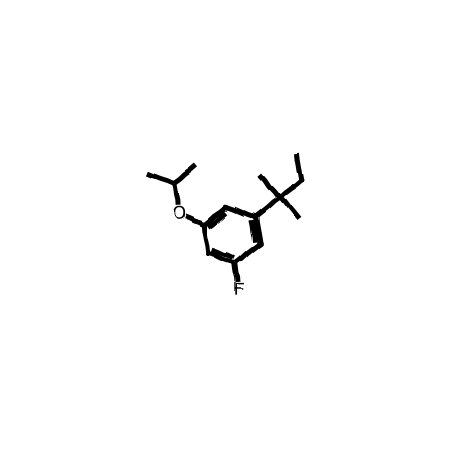 CCC(C)(C)c1cc(F)cc(OC(C)C)c1